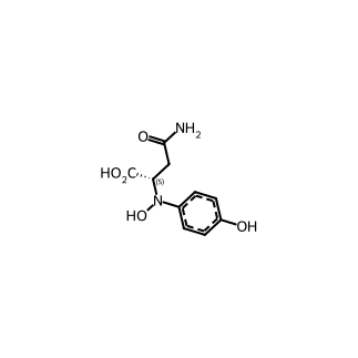 NC(=O)C[C@@H](C(=O)O)N(O)c1ccc(O)cc1